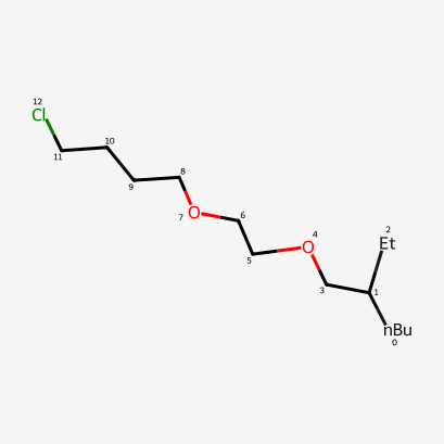 CCCCC(CC)COCCOCCCCCl